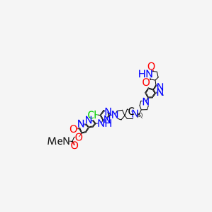 CNC(=O)COc1cc2cc(Nc3nc(N4CCC5(CC4)CCN([C@@H](C)C4CCN(c6ccc7c(C8CCC(=O)NC8=O)nn(C)c7c6)CC4)CC5)ncc3Cl)cnc2n(C)c1=O